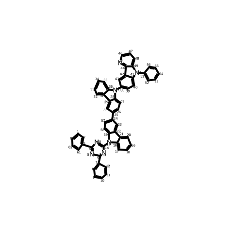 c1ccc(-c2nc(-c3ccccc3)nc(-n3c4ccccc4c4cc(-c5ccc6c(c5)c5ccccc5n6-c5ccc6c(c5)c5ncccc5n6-c5ccccc5)ccc43)n2)cc1